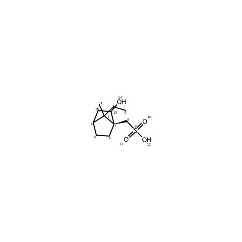 CCC1(C)C2CC[C@@]1(CS(=O)(=O)O)C(O)C2